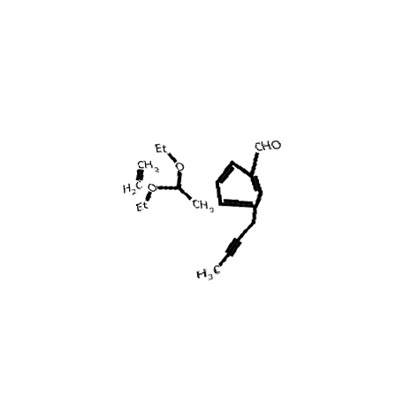 C=C.CC#CCc1cccc(C=O)c1.CCOC(C)OCC